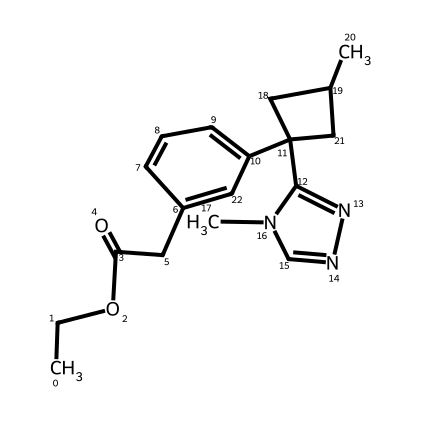 CCOC(=O)Cc1cccc(C2(c3nncn3C)CC(C)C2)c1